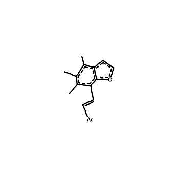 CC(=O)C=Cc1c(C)c(C)c(C)c2ccoc12